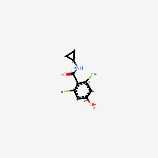 O=C(NC1CC1)c1c(F)cc(O)cc1F